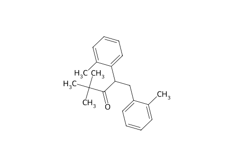 Cc1ccccc1CC(C(=O)C(C)(C)C)c1ccccc1C